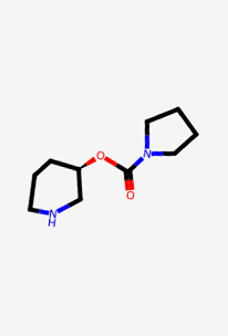 O=C(O[C@@H]1CCCNC1)N1CCCC1